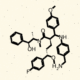 COc1ccc(C(Nc2ccc(CN)cc2)[C@@H](CC[C@H](OC)c2ccc(F)cc2)C(=O)N(C)[C@@H](C)[C@@H](O)c2ccccc2)cc1